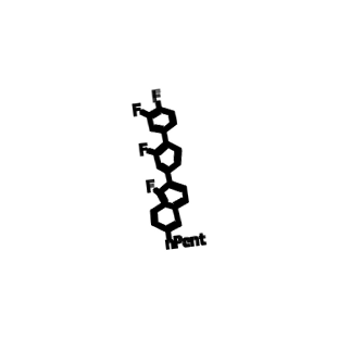 CCCCCc1ccc2c(F)c(-c3ccc(-c4ccc(F)c(F)c4)c(F)c3)ccc2c1